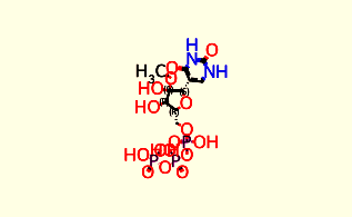 CO[C@@]1(O)[C@H](O)[C@@H](COP(=O)(O)OP(=O)(O)OP(=O)(O)O)O[C@H]1c1c[nH]c(=O)[nH]c1=O